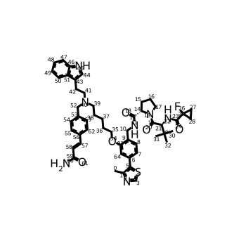 Cc1ncsc1-c1ccc(CNC(=O)[C@@H]2CCCN2C(=O)[C@@H](NC(=O)C2(F)CC2)C(C)(C)C)c(OCCCCCN(CCc2c[nH]c3ccccc23)Cc2ccc(/C=C/C(N)=O)cc2)c1